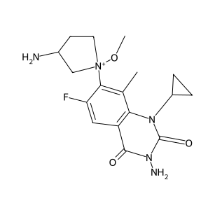 CO[N+]1(c2c(F)cc3c(=O)n(N)c(=O)n(C4CC4)c3c2C)CCC(N)C1